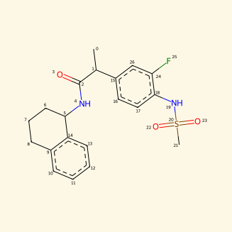 CC(C(=O)NC1CCCc2ccccc21)c1ccc(NS(C)(=O)=O)c(F)c1